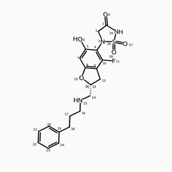 O=C1CN(c2c(O)cc3c(c2F)C[C@H](CNCCCc2ccccc2)O3)S(=O)(=O)N1